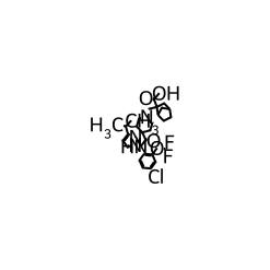 CC(C)c1ccnn1C1(C(=O)Nc2ccc(Cl)cc2OC(F)F)CCN(CC2(C(=O)O)CC3CCC2C3)CC1